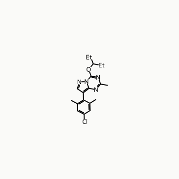 CCC(CC)Oc1nc(C)nc2c(-c3c(C)cc(Cl)cc3C)cnn12